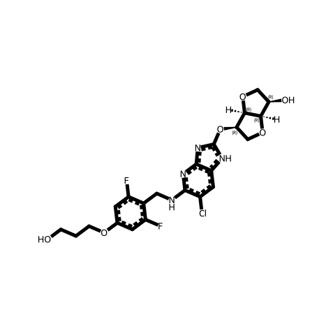 OCCCOc1cc(F)c(CNc2nc3nc(O[C@@H]4CO[C@H]5[C@@H]4OC[C@H]5O)[nH]c3cc2Cl)c(F)c1